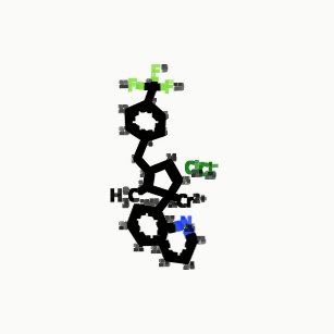 CC1=C(Cc2ccc(C(F)(F)F)cc2)C=C[C]1([Cr+2])c1cccc2cccnc12.[Cl-].[Cl-]